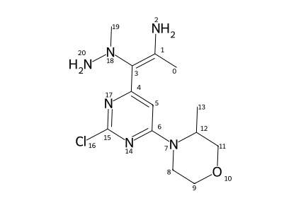 C/C(N)=C(\c1cc(N2CCOCC2C)nc(Cl)n1)N(C)N